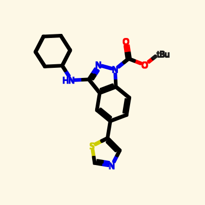 CC(C)(C)OC(=O)n1nc(NC2CCCCC2)c2cc(-c3cncs3)ccc21